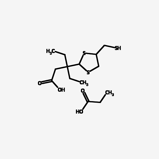 CCC(=O)O.CCC(CC)(CC(=O)O)C1SCC(CS)S1